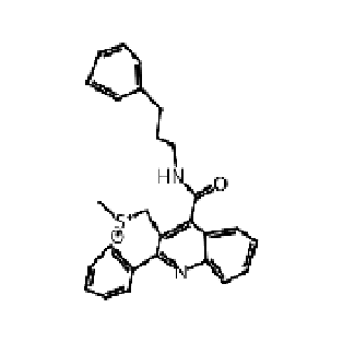 C[S+]([O-])Cc1c(-c2ccccc2)nc2ccccc2c1C(=O)NCCCc1ccccc1